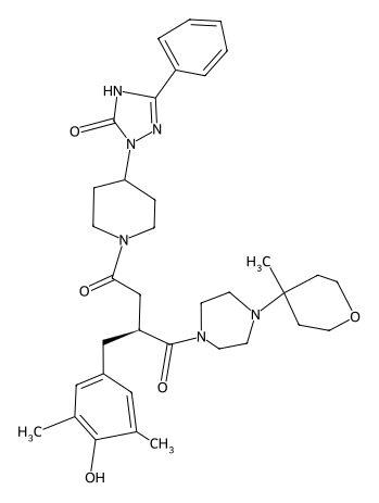 Cc1cc(C[C@@H](CC(=O)N2CCC(n3nc(-c4ccccc4)[nH]c3=O)CC2)C(=O)N2CCN(C3(C)CCOCC3)CC2)cc(C)c1O